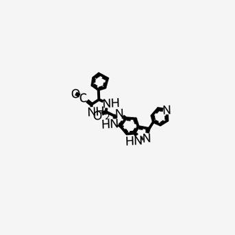 NC(=C=O)C(NC(=O)c1nc2cc3c(-c4ccncc4)n[nH]c3cc2[nH]1)c1ccccc1